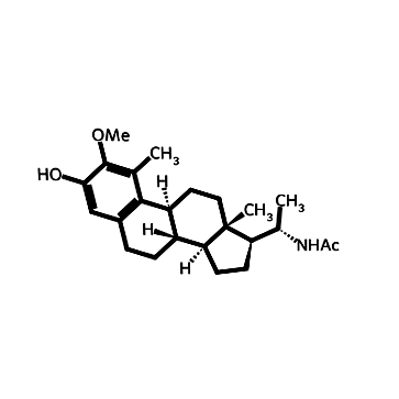 COc1c(O)cc2c(c1C)[C@H]1CC[C@]3(C)[C@@H]([C@H](C)NC(C)=O)CC[C@H]3[C@@H]1CC2